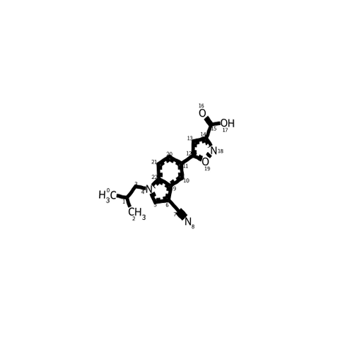 CC(C)Cn1cc(C#N)c2cc(-c3cc(C(=O)O)no3)ccc21